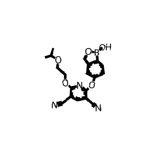 CC(C)OCCOc1nc(Oc2ccc3c(c2)COB3O)c(C#N)cc1C#N